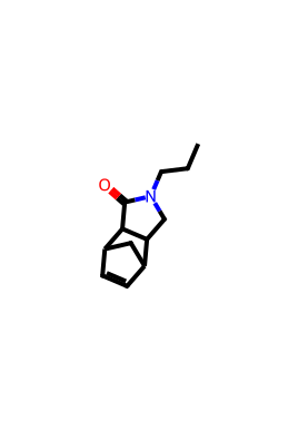 CCCN1CC2C3C=CC(C3)C2C1=O